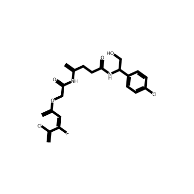 C=C(CCC(=O)NC(CO)c1ccc(Cl)cc1)NC(=O)COC(=C)/C=C(/F)C(=C)Cl